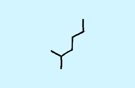 C[CH]CCC(C)C